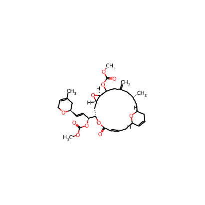 C=C1CC(OC(=O)OC)[C@@H]2O[C@H]2C[C@@H]([C@H](/C=C/[C@@H]2CC(C)=CCO2)OC(=O)OC)OC(=O)/C=C\C[C@@H]2C=CC[C@@H](C[C@@H](C)C1)O2